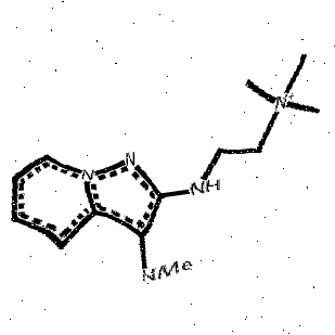 CNc1c(NCC[N+](C)(C)C)nn2ccccc12